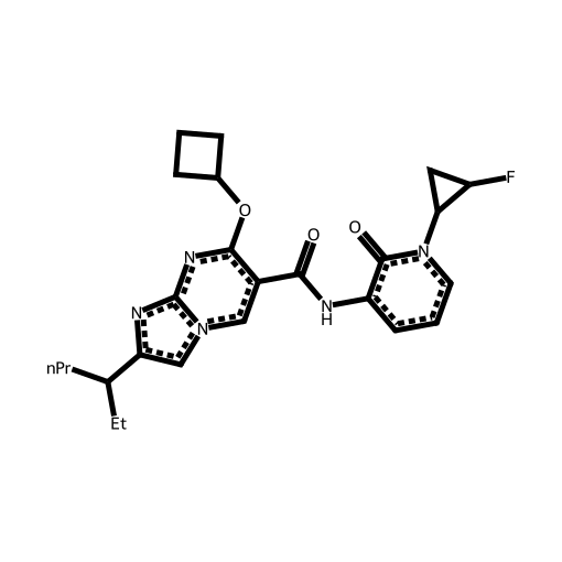 CCCC(CC)c1cn2cc(C(=O)Nc3cccn(C4CC4F)c3=O)c(OC3CCC3)nc2n1